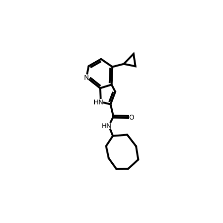 O=C(NC1CCCCCCC1)c1cc2c(C3CC3)ccnc2[nH]1